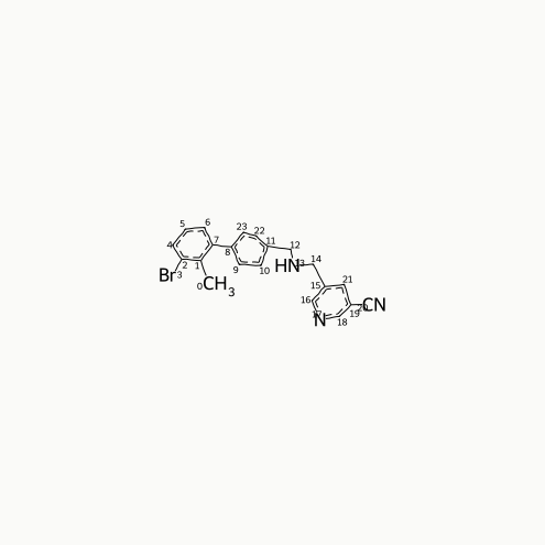 Cc1c(Br)cccc1-c1ccc(CNCc2cncc(C#N)c2)cc1